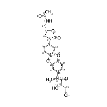 CC(=O)NC[C@H]1CN(c2ccc3c(c2)Oc2ccc(N(C)C(=O)[C@@H](O)CO)cc2O3)C(=O)O1